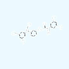 O=CN(c1cc(Cl)cc(Cl)c1)c1cccc(OCC(=O)Nc2cc(Cl)cc(Cl)c2)c1